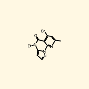 CCn1c(=O)c2c(Br)cc(C)nc2n2nccc12